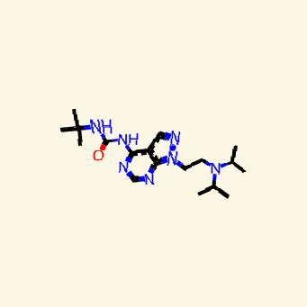 CC(C)N(CCn1ncc2c(NC(=O)NC(C)(C)C)ncnc21)C(C)C